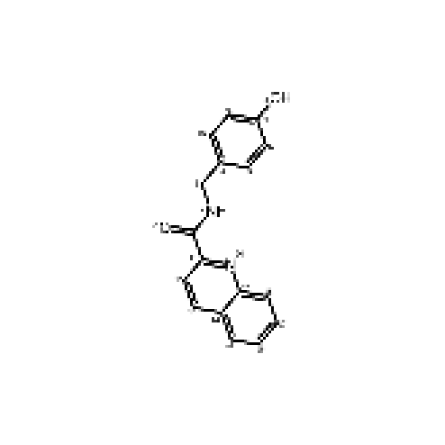 O=C(NCc1ccc(O)cc1)c1ccc2ccccc2n1